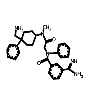 CN(C(=O)CN(C(=O)c1cccc(C(=N)N)c1)c1ccccc1)C1CCC(CN)(c2ccccc2)CC1